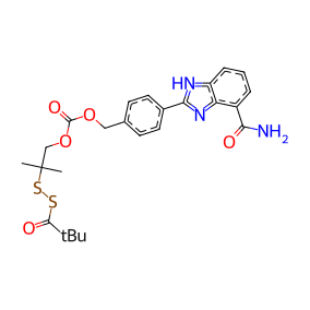 CC(C)(COC(=O)OCc1ccc(-c2nc3c(C(N)=O)cccc3[nH]2)cc1)SSC(=O)C(C)(C)C